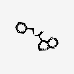 O=C(OCc1ccccc1)c1ccnc2nccnc12